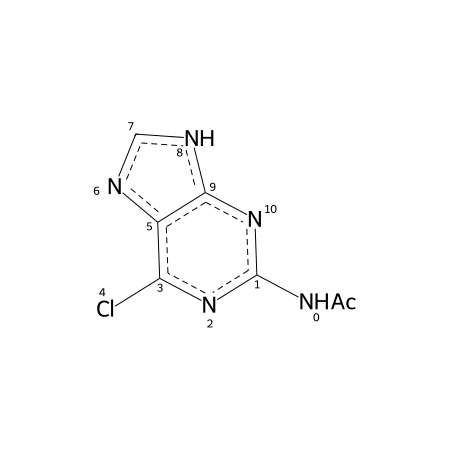 CC(=O)Nc1nc(Cl)c2nc[nH]c2n1